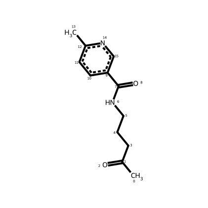 CC(=O)CCCNC(=O)c1ccc(C)nc1